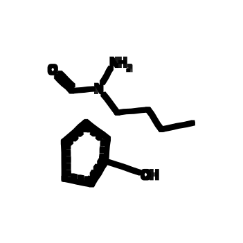 CCCCN(N)C=O.Oc1ccccc1